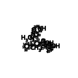 CN(CCC(C)(c1ccccc1)c1ccccc1)c1ccc2c(n1)OCCNC2.O=C(O)C(F)(F)F.O=C(O)C(F)(F)F